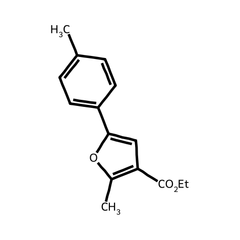 CCOC(=O)c1cc(-c2ccc(C)cc2)oc1C